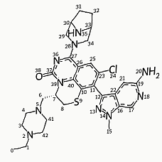 CCN1CCN(C[C@H]2CSc3c(-c4nn(C)c5cnc(N)cc45)c(Cl)cc4c(N5CC6CCC(C5)N6)nc(=O)n2c34)CC1